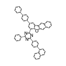 c1ccc(-c2ccc(-c3cc(-c4nc(-c5ccccc5)nc(-c5ccc(-c6cccc7ccccc67)cc5)n4)c4oc5cc6ccccc6cc5c4c3)cc2)cc1